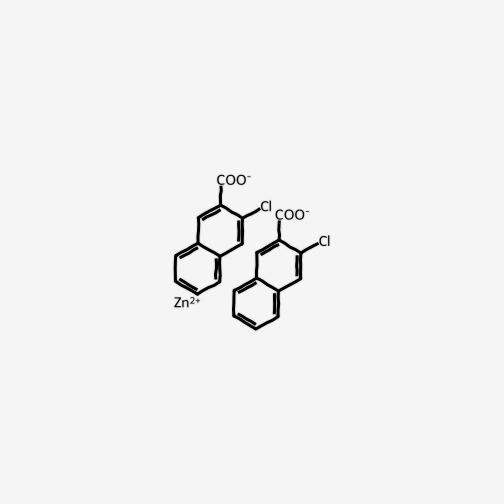 O=C([O-])c1cc2ccccc2cc1Cl.O=C([O-])c1cc2ccccc2cc1Cl.[Zn+2]